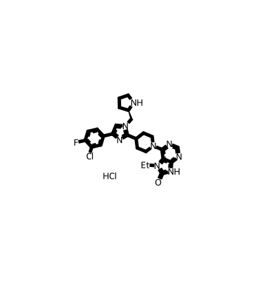 CCn1c(=O)[nH]c2ncnc(N3CCC(c4nc(-c5ccc(F)c(Cl)c5)cn4C[C@H]4CCCN4)CC3)c21.Cl